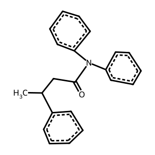 CC(CC(=O)N(c1ccccc1)c1ccccc1)c1ccccc1